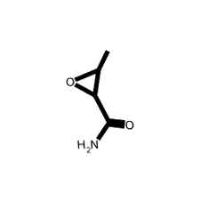 CC1OC1C(N)=O